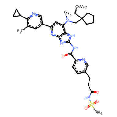 CNS(=O)(=O)NC(=O)CCc1ccc(C(=O)Nc2nc3nc(-c4cnc(C5CC5)c(C(F)(F)F)c4)cc(N(C)CC4(COC)CCCC4)c3[nH]2)nc1